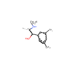 C[C@H](NC(=O)O)C(O)c1cc(C(F)(F)F)cc(C(F)(F)F)c1